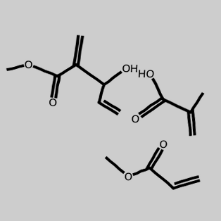 C=C(C)C(=O)O.C=CC(=O)OC.C=CC(O)C(=C)C(=O)OC